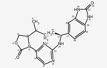 CC(C)C1COC(=O)N1c1ccnc(N[C@@H](C)c2ccc3[nH]c(=O)[nH]c3c2)n1